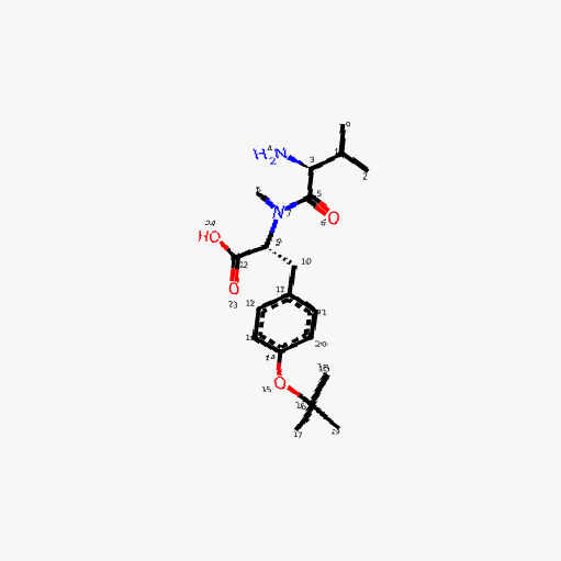 CC(C)[C@H](N)C(=O)N(C)[C@H](Cc1ccc(OC(C)(C)C)cc1)C(=O)O